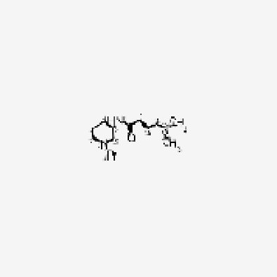 CC(C)N1CCC[C@@H](NC(=O)/C=C/CN(C)C)C1